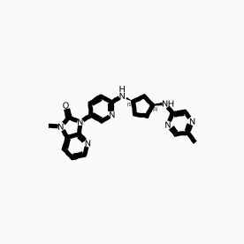 Cc1cnc(N[C@H]2CC[C@H](Nc3ccc(-n4c(=O)n(C)c5cccnc54)cn3)C2)cn1